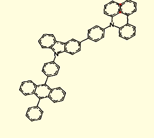 c1ccc(-c2ccccc2N(c2ccccc2)c2ccc(-c3ccc4c(c3)c3ccccc3n4-c3ccc(-c4c5ccccc5c(-c5ccccc5)c5ccccc45)cc3)cc2)cc1